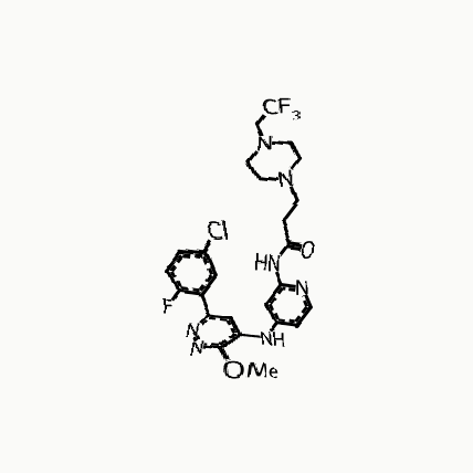 COc1nnc(-c2cc(Cl)ccc2F)cc1Nc1ccnc(NC(=O)CCN2CCN(CC(F)(F)F)CC2)c1